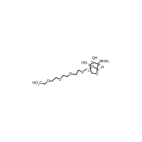 CC(=O)N[C@H]1[C@H]2OC[C@](COCCOCCOCCOCC(=O)O)(O2)[C@H](O)[C@@H]1O